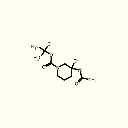 CC(=O)NC1(C)CCCN(C(=O)OC(C)(C)C)C1